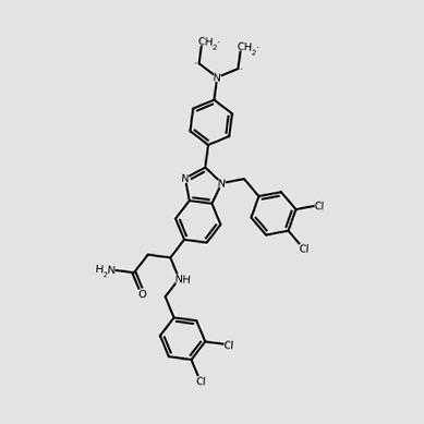 [CH2][CH]N([CH][CH2])c1ccc(-c2nc3cc(C(CC(N)=O)NCc4ccc(Cl)c(Cl)c4)ccc3n2Cc2ccc(Cl)c(Cl)c2)cc1